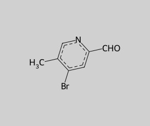 Cc1cnc(C=O)cc1Br